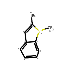 CC(C)(C)c1cc2ccccc2[s+]1C(F)(F)F